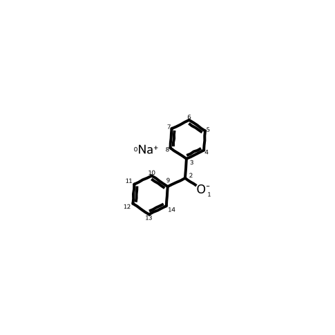 [Na+].[O-]C(c1ccccc1)c1ccccc1